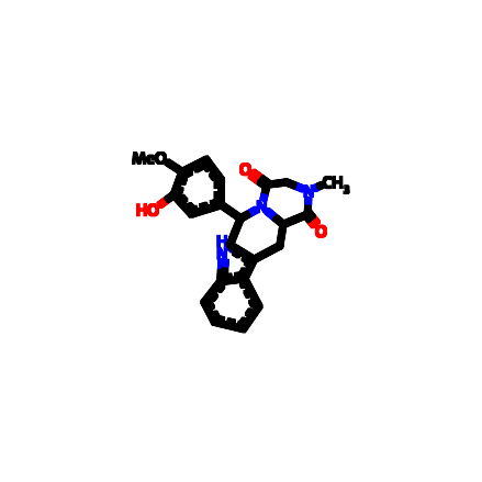 COc1ccc(C2c3[nH]c4ccccc4c3CC3C(=O)N(C)CC(=O)N32)cc1O